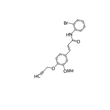 C#CCOc1ccc(/C=C/C(=O)Nc2ccccc2Br)cc1OC